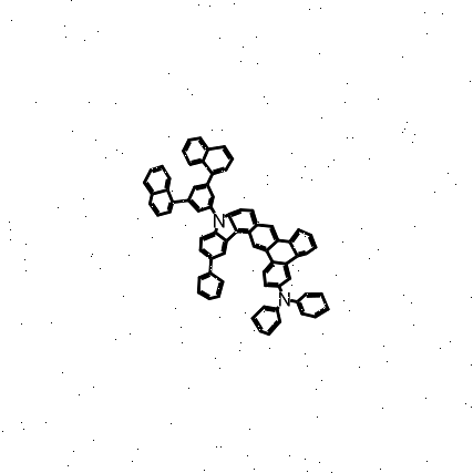 c1ccc(-c2ccc3c(c2)c2c4cc5c6ccc(N(c7ccccc7)c7ccccc7)cc6c6ccccc6c5cc4ccc2n3-c2cc(-c3cccc4ccccc34)cc(-c3cccc4ccccc34)c2)cc1